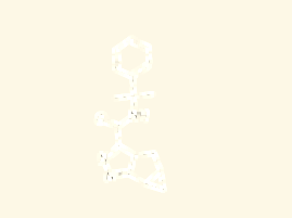 CC(C)(NC(=O)C1=NN=C2C1CC1CC21)c1ccccc1